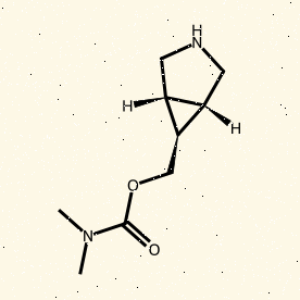 CN(C)C(=O)OC[C@H]1[C@@H]2CNC[C@@H]21